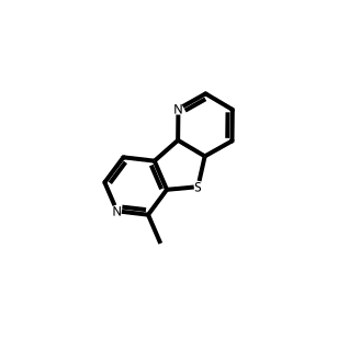 Cc1nccc2c1SC1C=CC=NC21